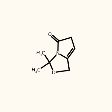 CC1(C)OCC2=CCC(=O)N21